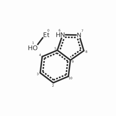 CCO.c1ccc2[nH]ncc2c1